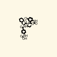 O=C(O)Nc1ccc(C(=O)N[C@@H](CC2CCCCC2)C(=O)N2CCC[C@@]3(C2)OC(=O)Nc2ccc(Cl)cc23)cc1